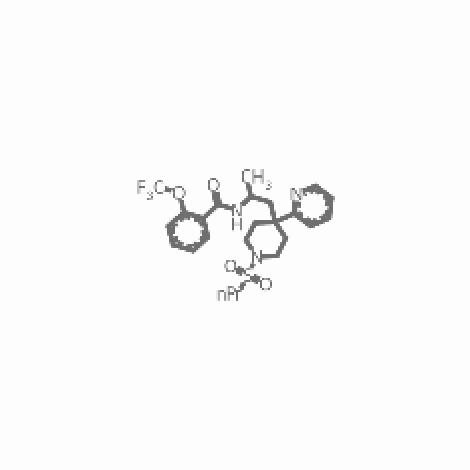 CCCS(=O)(=O)N1CCC(CC(C)NC(=O)c2ccccc2OC(F)(F)F)(c2ccccn2)CC1